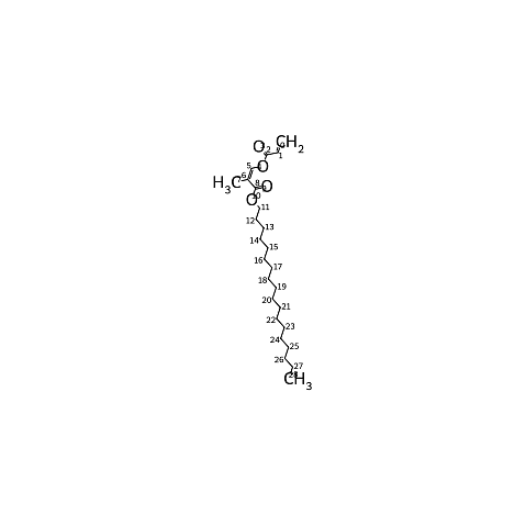 C=CC(=O)OC=C(C)C(=O)OCCCCCCCCCCCCCCCCCC